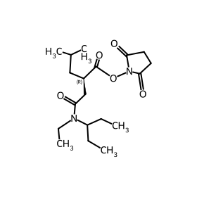 CCC(CC)N(CC)C(=O)C[C@@H](CC(C)C)C(=O)ON1C(=O)CCC1=O